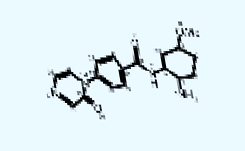 COC1CCC(N)C(NC(=O)c2ccc(-n3ccncc3=O)cc2)C1